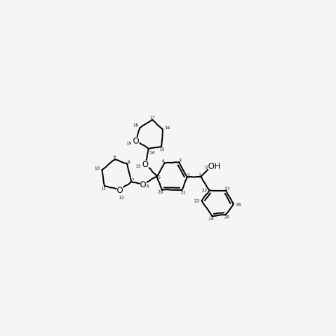 OC(C1=CCC(OC2CCCCO2)(OC2CCCCO2)C=C1)c1ccccc1